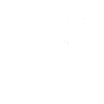 COc1cc(NC(=O)C(=O)c2c(C)n(Cc3ccc(F)cc3)c3ccc(Cl)cc23)ccn1